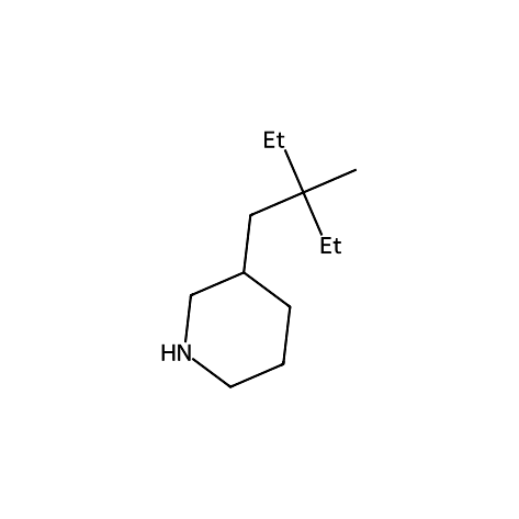 CCC(C)(CC)CC1CCCNC1